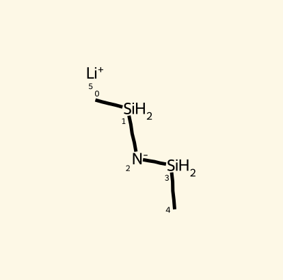 C[SiH2][N-][SiH2]C.[Li+]